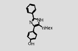 CCCCCCc1[nH]c(-c2ccccc2)nc1-c1ccc(O)cc1